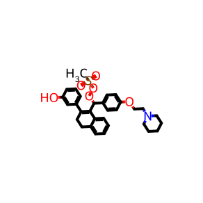 CS(=O)(=O)OOC(C1=C(c2cccc(O)c2)CCc2ccccc21)c1ccc(OCCN2CCCCC2)cc1